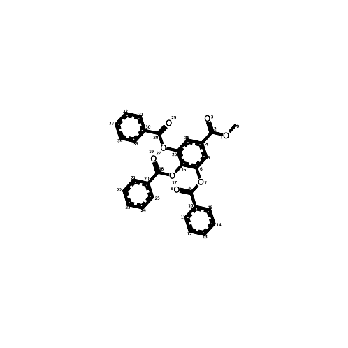 COC(=O)c1cc(OC(=O)c2ccccc2)c(OC(=O)c2ccccc2)c(OC(=O)c2ccccc2)c1